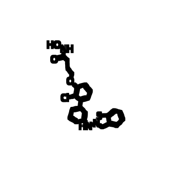 O=C(CCCOc1cccc(-c2cccc(NN3Cc4ccccc4S3)c2)c1Cl)NO